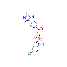 Cc1nc(C)c(C2CCN(C(=O)CCS(=O)(=O)c3cc4cc(Cl)ccc4[nH]3)CC2)[nH]1